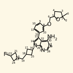 CC1(C)CCC(COc2cccc(-c3cn(C4CC(CN5CC(F)C5)C4)c4ncnc(N)c34)c2)O1